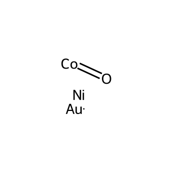 [Au].[Ni].[O]=[Co]